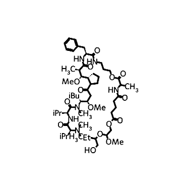 CCC(CO)OC(COC(=O)CCCC(=O)NC(C)C(=O)OCCCNC(=O)[C@H](Cc1ccccc1)NC(=O)[C@H](C)[C@@H](OC)[C@@H]1CCCC1C(=O)C[C@@H](OC)[C@H]([C@@H](C)CC)N(C)C(=O)[C@@H](NC(=O)[C@H](C(C)C)N(C)C)C(C)C)OC